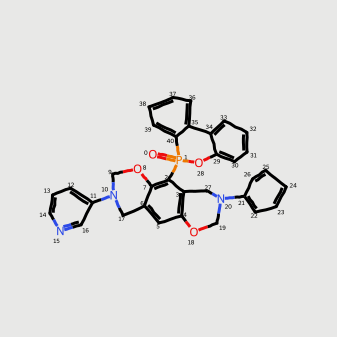 O=P1(c2c3c(cc4c2OCN(c2cccnc2)C4)OCN(c2ccccc2)C3)Oc2ccccc2-c2ccccc21